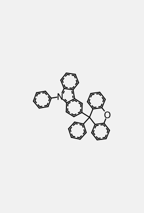 c1ccc(-n2c3ccccc3c3cc(C4(c5ccccc5)c5ccccc5Oc5ccccc54)ccc32)cc1